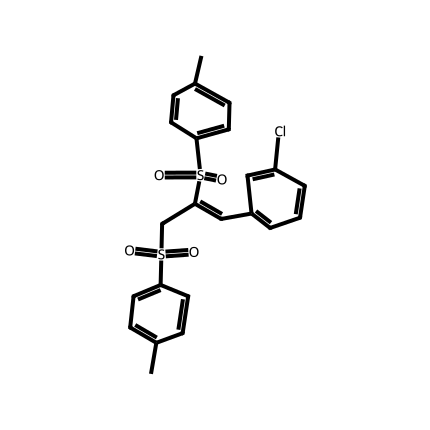 Cc1ccc(S(=O)(=O)CC(=Cc2cccc(Cl)c2)S(=O)(=O)c2ccc(C)cc2)cc1